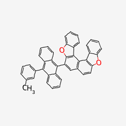 Cc1cccc(-c2c3ccccc3c(-c3cc4ccc5oc6ccccc6c5c4c4c3oc3ccccc34)c3ccccc23)c1